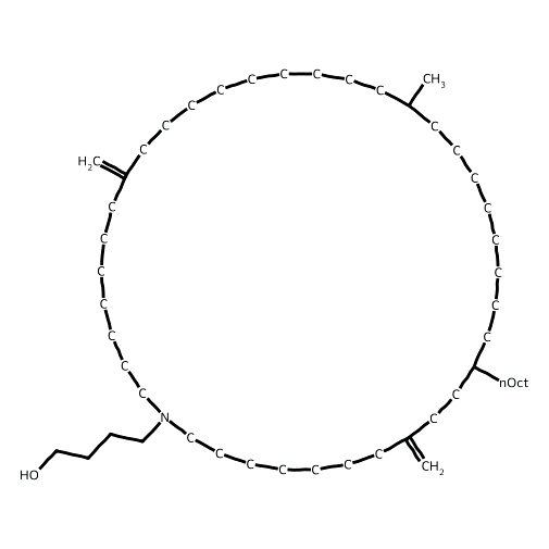 C=C1CCCCCCCCCC(C)CCCCCCCCC(CCCCCCCC)CCC(=C)CCCCCCCN(CCCCO)CCCCCCC1